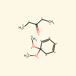 CCC(=O)CC.COC1(OC)C=CC=CC1